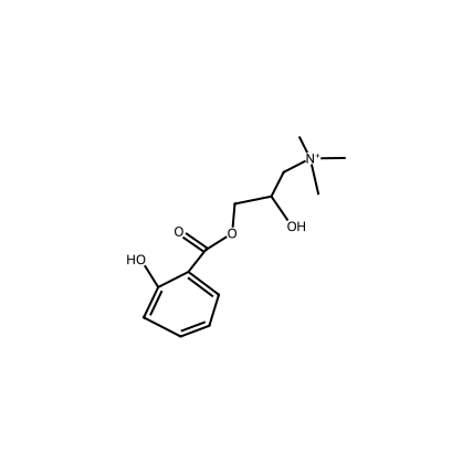 C[N+](C)(C)CC(O)COC(=O)c1ccccc1O